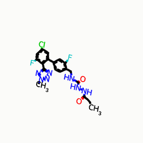 CCC(=O)NNC(=O)NCc1ccc(-c2cc(Cl)cc(F)c2-c2nnn(C)n2)cc1F